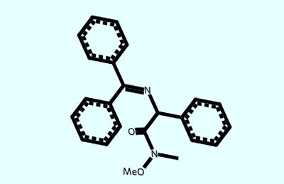 CON(C)C(=O)C(N=C(c1ccccc1)c1ccccc1)c1ccccc1